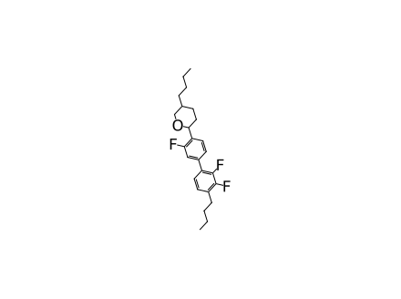 CCCCc1ccc(-c2ccc(C3CCC(CCCC)CO3)c(F)c2)c(F)c1F